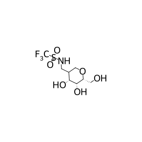 O=S(=O)(NCC1CO[C@H](CO)[C@H](O)[C@@H]1O)C(F)(F)F